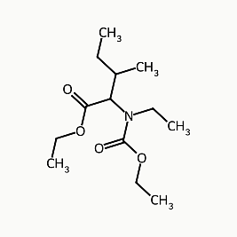 CCOC(=O)C(C(C)CC)N(CC)C(=O)OCC